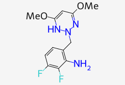 COC1=CC(OC)=NN(Cc2ccc(F)c(F)c2N)N1